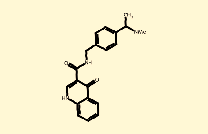 CNC(C)c1ccc(CNC(=O)c2c[nH]c3ccccc3c2=O)cc1